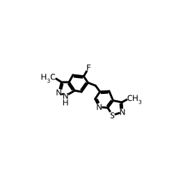 Cc1n[nH]c2cc(Cc3cnc4snc(C)c4c3)c(F)cc12